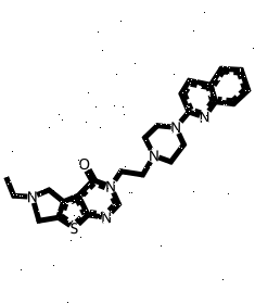 CCN1Cc2sc3ncn(CCN4CCN(c5ccc6ccccc6n5)CC4)c(=O)c3c2C1